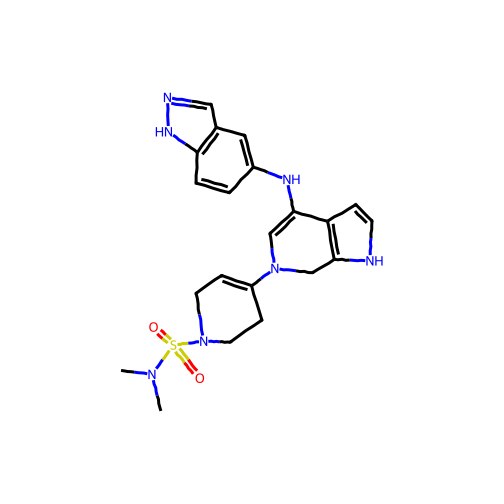 CN(C)S(=O)(=O)N1CC=C(N2C=C(Nc3ccc4[nH]ncc4c3)c3cc[nH]c3C2)CC1